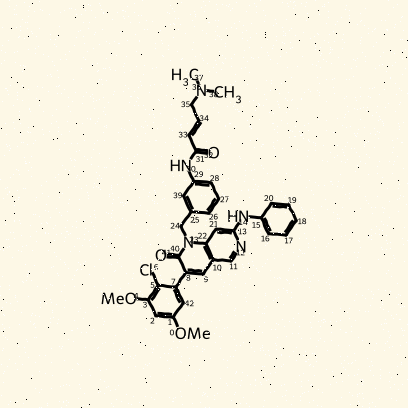 COc1cc(OC)c(Cl)c(-c2cc3cnc(Nc4ccccc4)cc3n(Cc3cccc(NC(=O)/C=C/CN(C)C)c3)c2=O)c1